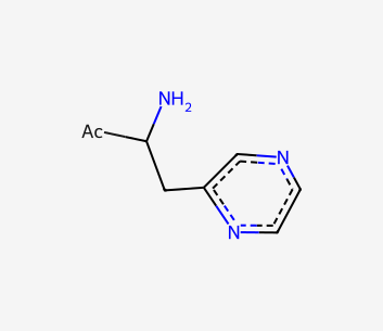 CC(=O)C(N)Cc1cnccn1